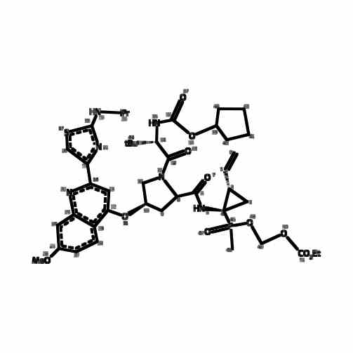 C=C[C@@H]1C[C@]1(NC(=O)C1C[C@@H](Oc2cc(-c3csc(NC(C)C)n3)nc3cc(OC)ccc23)CN1C(=O)[C@@H](NC(=O)OC1CCCC1)C(C)(C)C)P(C)(=O)OCOC(=O)OCC